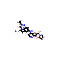 Cc1cc2cc(Nc3ccnc4cc(C(=O)N5CCCC5O)sc34)ccc2n1C(=O)NC1CC1